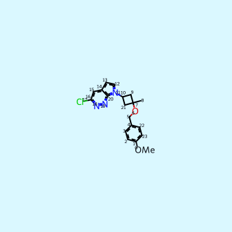 COc1ccc(COC2(C)CC(n3ccc4cc(Cl)nnc43)C2)cc1